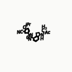 CC(=O)[C@@H](C)N[C@H]1CCc2c(-c3noc(-c4ccc(OC(C)C)c(C#N)c4)n3)cccc21